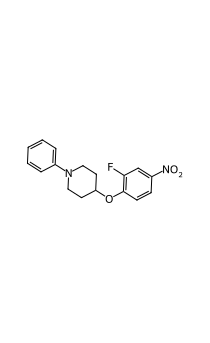 O=[N+]([O-])c1ccc(OC2CCN(c3ccccc3)CC2)c(F)c1